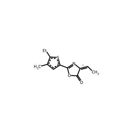 C/C=C1/N=C(c2cc(C)c(CC)s2)OC1=O